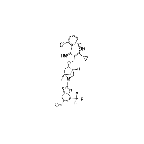 N=C(/C(CO[C@@H]1C[C@@H]2C[C@H]1CN2c1nc2c(C(F)(F)F)cc(C=O)cc2s1)=C(\O)C1CC1)c1c(Cl)cccc1Cl